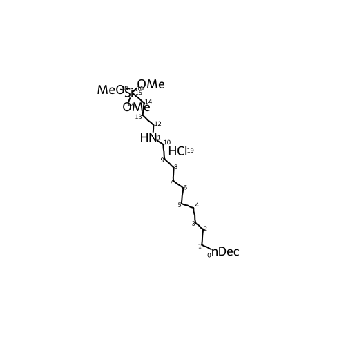 CCCCCCCCCCCCCCCCCCCCNCCC[Si](OC)(OC)OC.Cl